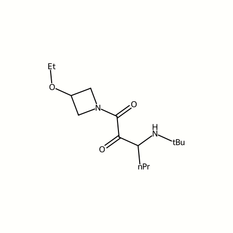 CCCC(NC(C)(C)C)C(=O)C(=O)N1CC(OCC)C1